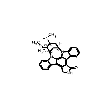 CN[C@H]1C[C@@H]2C[C@](C)([C@H]1OC)n1c3ccccc3c3c4c(c5c6ccccc6n2c5c31)C(=O)NC4